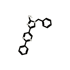 Cc1nc(-c2cnc(-c3ccccc3)nc2)cn1Cc1ccccc1